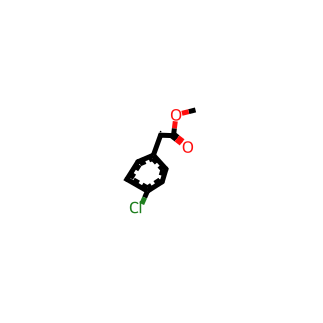 COC(=O)[CH]c1ccc(Cl)cc1